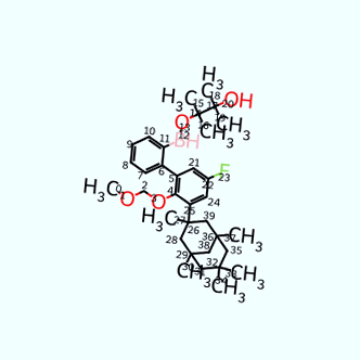 COCOc1c(-c2ccccc2BOC(C)(C)C(C)(C)O)cc(F)cc1C1(C)CC2(C)CC(C)(C)CC(C)(C2)C1